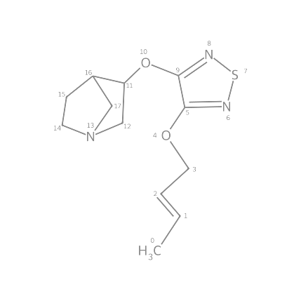 CC=CCOc1nsnc1OC1CN2CCC1C2